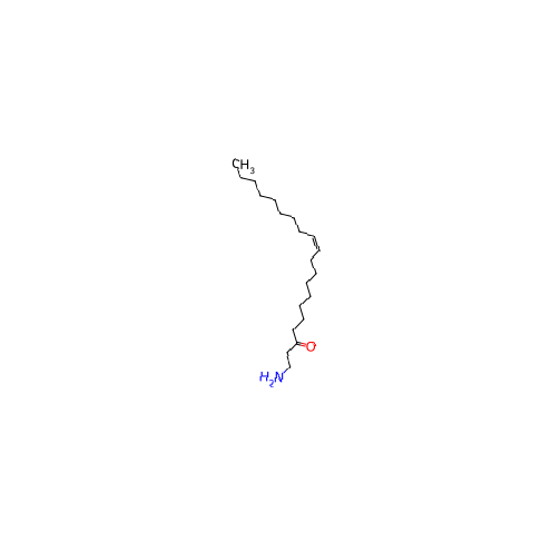 CCCCCCCC/C=C\CCCCCCCC(=O)CCN